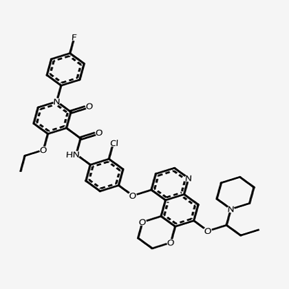 CCOc1ccn(-c2ccc(F)cc2)c(=O)c1C(=O)Nc1ccc(Oc2ccnc3cc(OC(CC)N4CCCCC4)c4c(c23)OCCO4)cc1Cl